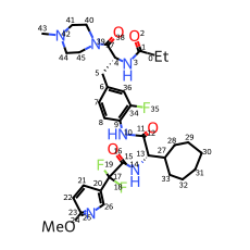 CCC(=O)N[C@H](Cc1ccc(NC(=O)[C@@H](NC(=O)C(F)(F)c2ccc(OC)nc2)C2CCCCCC2)c(F)c1)C(=O)N1CCN(C)CC1